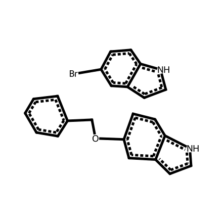 Brc1ccc2[nH]ccc2c1.c1ccc(COc2ccc3[nH]ccc3c2)cc1